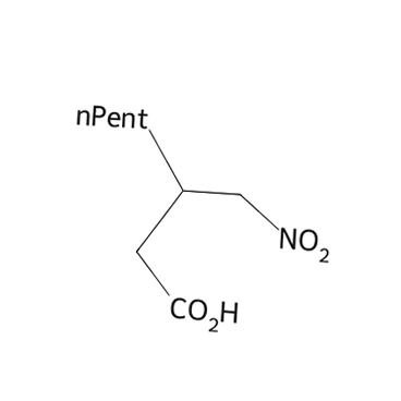 CCCCCC(CC(=O)O)C[N+](=O)[O-]